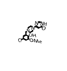 COc1cc(Cl)cc(CN2CCN(c3cc(=O)[nH]cn3)CC2)c1O